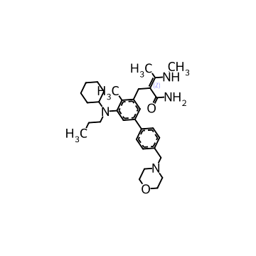 CCCN(c1cc(-c2ccc(CN3CCOCC3)cc2)cc(C/C(C(N)=O)=C(\C)NC)c1C)C1CCCCC1